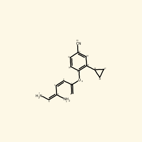 C=C(/C=C\C(N)=C/N)Oc1ccc(C#N)cc1C1CC1